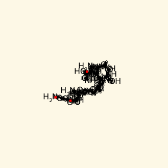 CC[C@H](C)[C@@H]1NC(=O)CNC(=O)[C@H](NCOO)Cc2c([nH]c3cc(OC(=O)N(CCN(C)C(=O)OCc4ccc(NC(=O)[C@H](CC(N)=O)NC(=O)[C@H](C)NC(=O)[C@H](C)NC(=O)CCOCCOCCN)cc4)C(C)C)ccc23)[S+]([O-])C[C@@H](C(=O)N[C@@H](CC(N)=O)C(=O)N2C[C@H](O)C[C@H]2CC(N)=O)NC(=O)CNC1=O